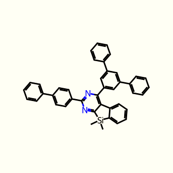 C[Si]1(C)c2ccccc2-c2c(-c3cc(-c4ccccc4)cc(-c4ccccc4)c3)nc(-c3ccc(-c4ccccc4)cc3)nc21